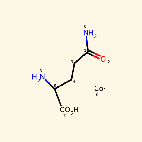 NC(=O)CCC(N)C(=O)O.[Co]